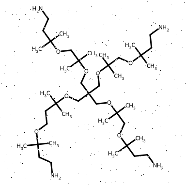 CC(C)(CCN)OCCC(C)(C)OCC(COC(C)(C)COC(C)(C)CCN)(COC(C)(C)COC(C)(C)CCN)COC(C)(C)COC(C)(C)CCN